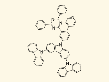 c1ccc(-c2nc(-c3ccccc3)nc(-c3cc(-n4c5ccc(-n6c7ccccc7c7ccccc76)cc5c5cc(-n6c7ccccc7c7ccccc76)ccc54)ccc3-c3ccncc3)n2)cc1